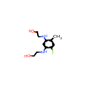 Cc1cc(F)c(NCCO)cc1NCCO